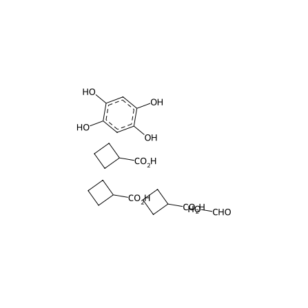 O=C(O)C1CCC1.O=C(O)C1CCC1.O=C(O)C1CCC1.O=CO.Oc1cc(O)c(O)cc1O